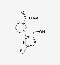 COC(=O)[C@@H]1CN(c2nc(C(F)(F)F)ccc2CO)CCO1